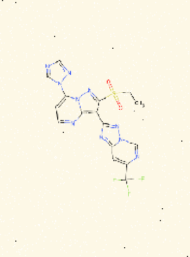 CCS(=O)(=O)c1nn2c(-n3cncn3)ccnc2c1-c1nc2cc(C(F)(F)F)ncn2n1